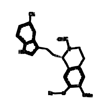 CCOc1cc2c(cc1OC)CCN([C]=O)[C@H]2CCc1c[nH]c2ccc(C#N)cc12